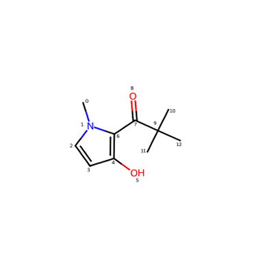 Cn1ccc(O)c1C(=O)C(C)(C)C